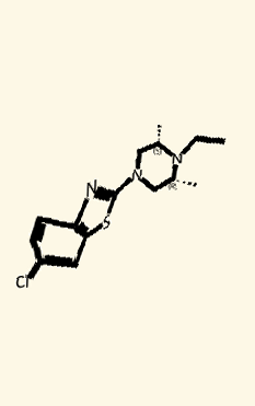 CCN1[C@H](C)CN(c2nc3ccc(Cl)cc3s2)C[C@@H]1C